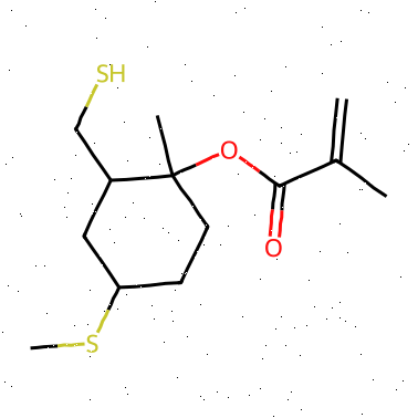 C=C(C)C(=O)OC1(C)CCC(SC)CC1CS